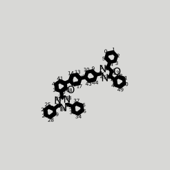 C1=CCCC(C2=NC(C3=CCC(c4ccc5c(c4)oc4c(-c6nc(-c7ccccc7)nc(-c7ccccc7)n6)cccc45)C=C3)=NC3c4ccccc4OC23)=C1